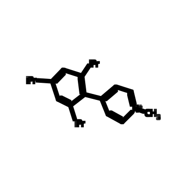 CC(C)c1cc(C(C)C)c(-c2cc[n+](C)cc2)c(C(C)C)c1